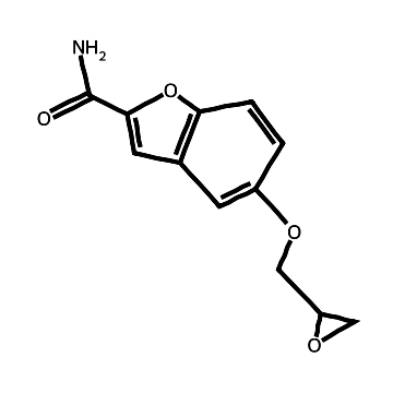 NC(=O)c1cc2cc(OCC3CO3)ccc2o1